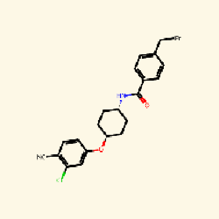 CC(C)Cc1ccc(C(=O)N[C@H]2CC[C@H](Oc3ccc(C#N)c(Cl)c3)CC2)cc1